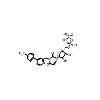 Cc1ccc(-c2ccnc(Cn3c(=O)ccn([C@@H]4O[C@H](COP(=O)(O)OP(=O)(O)O)C(O)C4O)c3=O)c2)cc1